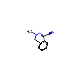 CN1Cc2ccccc2C(C#N)=N1